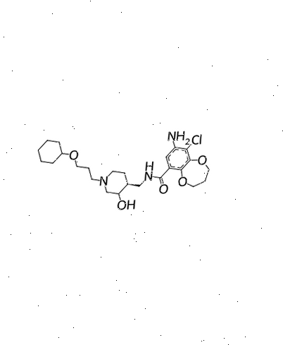 Nc1cc(C(=O)NC[C@@H]2CCN(CCCOC3CCCCC3)CC2O)c2c(c1Cl)OCCCO2